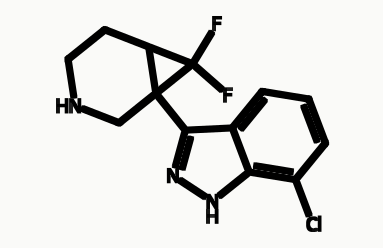 FC1(F)C2CCNCC21c1n[nH]c2c(Cl)cccc12